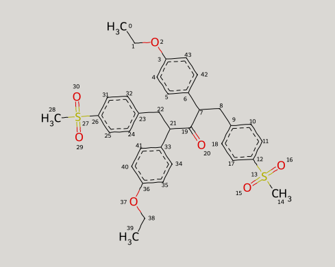 CCOc1ccc(C(Cc2ccc(S(C)(=O)=O)cc2)C(=O)C(Cc2ccc(S(C)(=O)=O)cc2)c2ccc(OCC)cc2)cc1